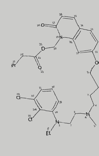 CCN(CCN(C)CCCCOc1ccc2ccc(=O)n(COC(=O)CC(C)C)c2c1)c1cccc(Cl)c1Cl